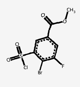 COC(=O)c1cc(F)c(Br)c(S(=O)(=O)Cl)c1